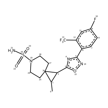 CC1C(c2nc(-c3ccc(F)cc3C(F)(F)F)no2)C12CCN(S(N)(=O)=O)CC2